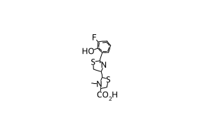 CN1C(C(=O)O)CSC1C1CSC(c2cccc(F)c2O)=N1